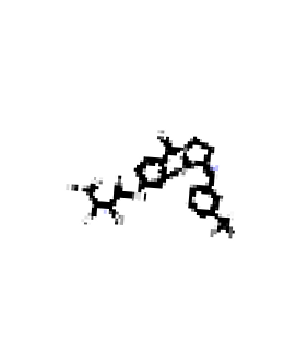 O=C(O)/C(Cl)=C(/Cl)C(=O)Nc1ccc2c(=O)n3c(nc2c1)/C(=C\c1cccc(C(F)(F)F)c1)CC3